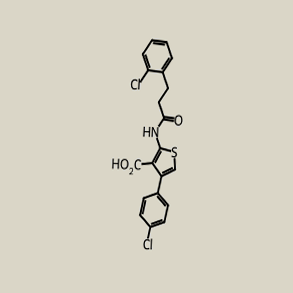 O=C(CCc1ccccc1Cl)Nc1scc(-c2ccc(Cl)cc2)c1C(=O)O